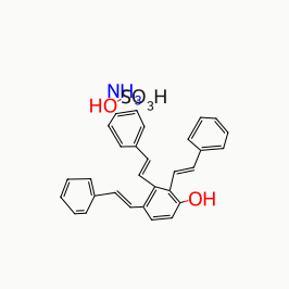 N.O=S(=O)(O)O.Oc1ccc(C=Cc2ccccc2)c(C=Cc2ccccc2)c1C=Cc1ccccc1